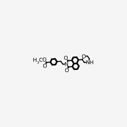 COC(=O)c1ccc(CCN2C(=O)c3cccc4c(C5CNCCO5)ccc(c34)C2=O)cc1